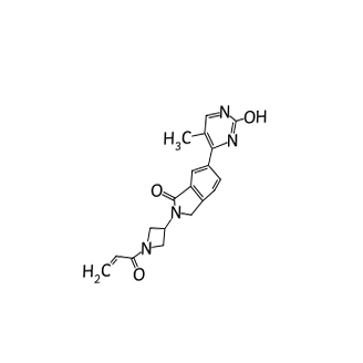 C=CC(=O)N1CC(N2Cc3ccc(-c4nc(O)ncc4C)cc3C2=O)C1